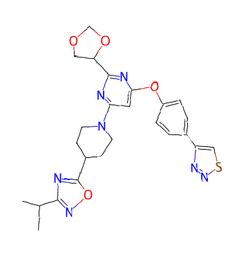 CC(C)c1noc(C2CCN(c3cc(Oc4ccc(-c5csnn5)cc4)nc(C4COCO4)n3)CC2)n1